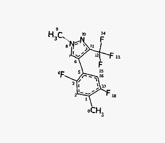 Cc1cc(F)c(-c2cn(C)nc2C(F)(F)F)cc1F